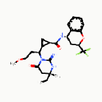 CC[C@]1(C)CC(=O)N([C@@H](CCOC)C2C[C@H]2C(=O)N[C@H]2CC(C(F)(F)F)Oc3ccccc32)C(=N)N1